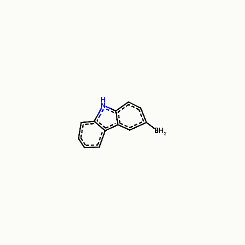 Bc1ccc2[nH]c3ccccc3c2c1